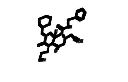 C#CCN1CC(=O)N2[C@@H](CCSC)C(=O)N(CC3CCCCC3)C[C@@H]2N1C(=O)NCc1ccccc1